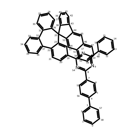 c1ccc(-c2ccc(-c3nc(-c4ccccc4)nc(-c4ccc5c(c4)C4(c6ccccc6-c6ccccc6-5)c5ccccc5-c5cc6ccccc6cc54)n3)cc2)cc1